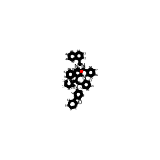 C1=Cc2oc3ccc(-n4c5c(c6ncccc64)-c4ccccc4N(c4ccccc4-c4cc(-c6ccccc6)nc(-c6cccc7ccccc67)n4)c4ccccc4-5)cc3c2CC1